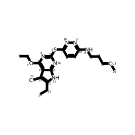 CCOc1nc(Sc2ccc(NCCCOC)nn2)nc2[nH]c(CC)c(Cl)c12